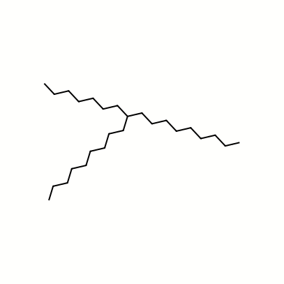 CCCCCCCCCC(CCCCCCC)CCCCCCCCC